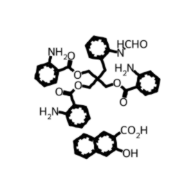 Nc1ccccc1C(=O)OCC(COC(=O)c1ccccc1N)(COC(=O)c1ccccc1N)Cc1ccccc1NC=O.O=C(O)c1cc2ccccc2cc1O